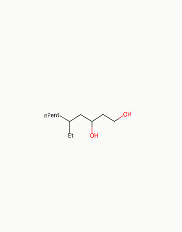 CCCCCC(CC)CC(O)CCO